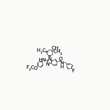 C[C@H]1C[C@@H](n2c(Nc3ccc(OC(F)(F)F)cc3)nc3ccc(C(=O)NCc4ccc(F)cc4)cc32)CC(C)(C)C1